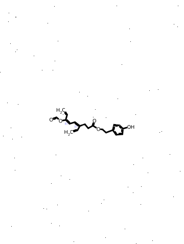 C=C/C(=C\C=C(/C=C)OC=O)CCC(=O)OCCc1ccc(O)cc1